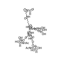 CC(=O)NC1C(OCCOCCNC(=O)CCC(NC(=O)CCC(NC(=O)CCCCCCC(=O)NCCCc2cn(C[C@H](O)COI)c3ccccc23)C(=O)NCCOCCOC2O[C@H](CO)C(O)C(O)C2NC(C)=O)C(=O)NCCOCCOC2OC(CO)C(O)C(O)C2NC(C)=O)OC(CO)C(O)C1O